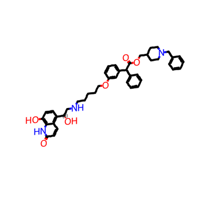 O=C(OCC1CCN(Cc2ccccc2)CC1)C(c1ccccc1)c1cccc(OCCCCCNC[C@H](O)c2ccc(O)c3[nH]c(=O)ccc23)c1